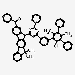 Cc1c(-c2ccccc2)c(C)c(-c2cccc(-c3nc(-c4ccccc4)nc(C4c5cc(C(=O)c6ccccc6)ccc5-c5cc6c(cc54)C(C)(C)c4ccccc4-6)n3)c2)c(C)c1-c1ccccc1